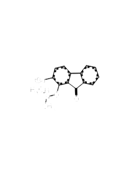 C[SiH](C)Oc1c(C(C)(C)C)ccc2c1C(=O)c1ccccc1-2